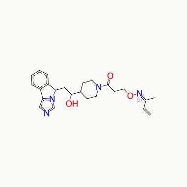 C=C/C(C)=N\OCCC(=O)N1CCC(C(O)CC2c3ccccc3-c3cncn32)CC1